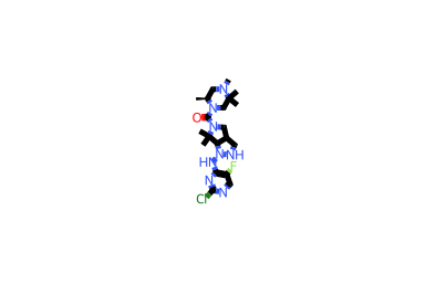 C[C@H]1CN(C)C(C)(C)CN1C(=O)N1CC2CNN(Nc3nc(Cl)ncc3F)C2C1(C)C